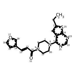 CCc1cc2c(N3CCN(C(=O)C=Cc4ccoc4)CC3)ncnc2s1